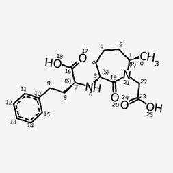 C[C@@H]1CCC[C@H](N[C@@H](CCc2ccccc2)C(=O)O)C(=O)N1CC(=O)O